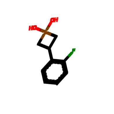 OS1(O)CC(c2cc[c]cc2F)C1